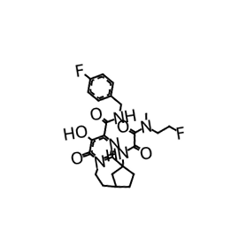 CN(CCF)C(=O)C(=O)NC12CCC(CCn3c1nc(C(=O)NCc1ccc(F)cc1)c(O)c3=O)C2